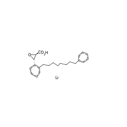 O=C(O)[C@@H]1O[C@H]1c1ccccc1CCCCCCCCc1ccccc1.[Li]